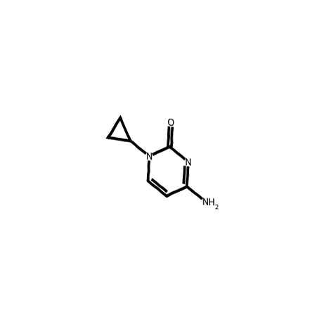 Nc1ccn(C2CC2)c(=O)n1